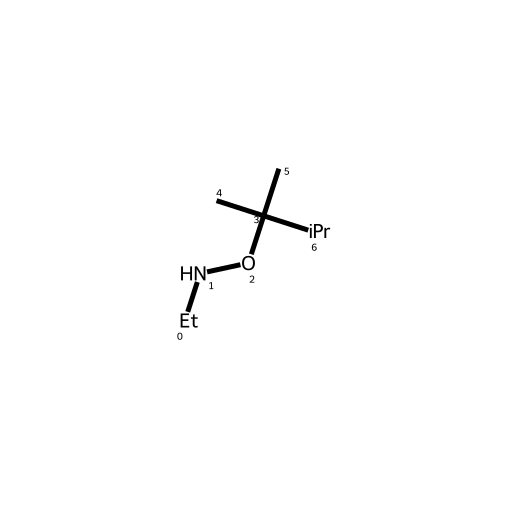 [CH2]CNOC(C)(C)C(C)C